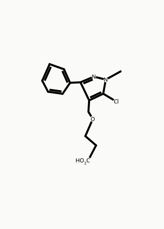 Cn1nc(-c2ccccc2)c(COCCC(=O)O)c1Cl